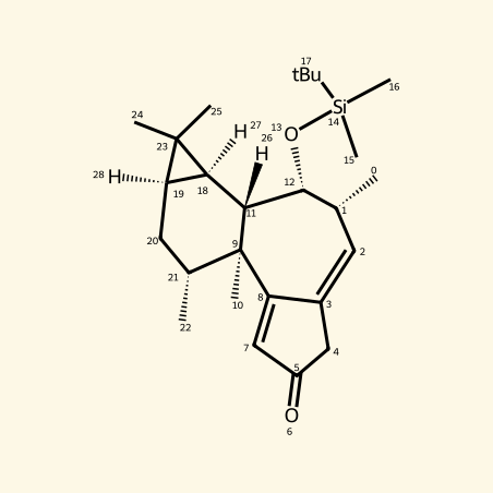 C[C@@H]1C=C2CC(=O)C=C2[C@]2(C)[C@@H]([C@@H]1O[Si](C)(C)C(C)(C)C)[C@H]1[C@@H](C[C@H]2C)C1(C)C